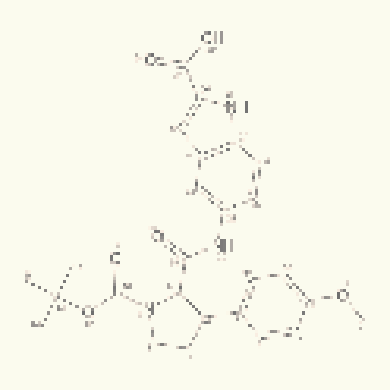 COc1ccc(C2CCN(C(=O)OC(C)(C)C)C2C(=O)Nc2ccc3[nH]c(C(=O)O)cc3c2)cc1